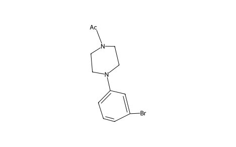 CC(=O)N1CCN(c2cccc(Br)c2)CC1